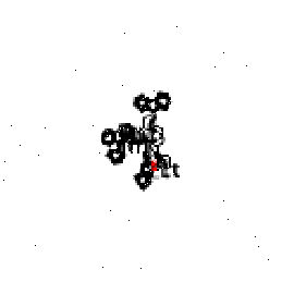 CCOC(CN(Cc1ccc2ccccc2c1)C(=O)C(CC(=O)NC(c1ccccc1)(c1ccccc1)c1ccccc1)NC(=O)OCC1c2ccccc2-c2ccccc21)OCC